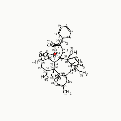 CC[C@@]1(OC(=O)c2ccccc2)[C@@H]2[C@]3(OC(C)=O)CO[C@@H]3C[C@H](O)[C@@]2(C)C(=O)[C@H](OC(C)=O)C2=C(C)CC[C@]1(O)[C@@H]2C